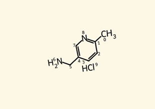 Cc1ccc(CN)cn1.Cl